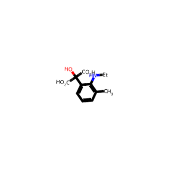 CCNc1c(C)cccc1C(O)(C(=O)O)C(=O)O